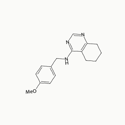 COc1ccc(CNc2ncnc3c2CCCC3)cc1